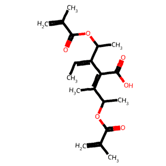 C=C(C)C(=O)OC(C)C(=CC)C(C(=O)O)=C(C)C(C)OC(=O)C(=C)C